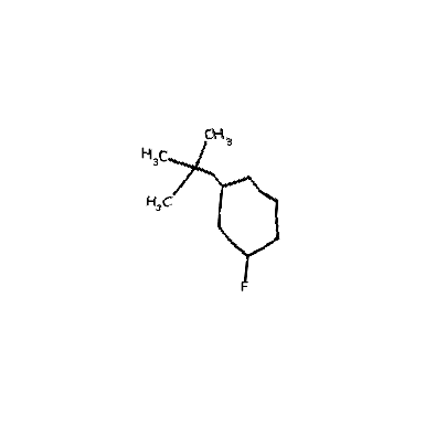 CC(C)(C)C1CCCC(F)C1